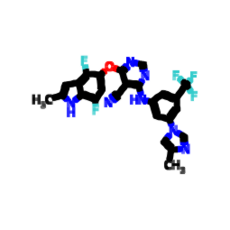 Cc1cn(-c2cc(Nc3ncnc(Oc4cc(F)c5[nH]c(C)cc5c4F)c3C#N)cc(C(F)(F)F)c2)cn1